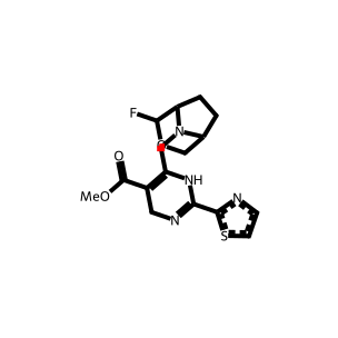 COC(=O)C1=C(CN2C3CCC2C(F)OC3)NC(c2nccs2)=NC1